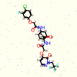 O=C(COc1ccc(Cl)c(F)c1)NC12CCC(NC(=O)COc3ccnn(CC(F)(F)F)c3=O)(CC1)C(=O)C2